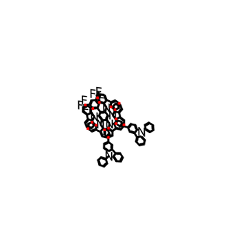 FC(F)(F)c1cc(-c2c(-n3c4ccccc4c4ccccc43)c(-n3c4ccccc4c4ccccc43)c(-n3c4ccc(-c5ccc6c(c5)c5ccccc5n6-c5ccccc5)cc4c4cc(-c5ccc6c(c5)c5ccccc5n6-c5ccccc5)ccc43)c(-n3c4ccccc4c4ccccc43)c2-n2c3ccccc3c3ccccc32)cc(C(F)(F)F)c1